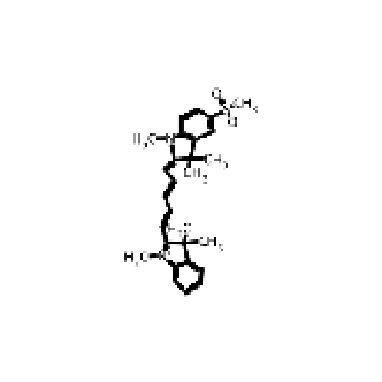 CN1/C(=C/C=C/C=C/C2=[N+](C)c3ccccc3C2(C)C)C(C)(C)c2cc(S(C)(=O)=O)ccc21